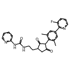 Cc1cc(-c2ncccc2F)cc(C)c1C1C(=O)CC(CCNC(=O)Nc2ccccn2)C1=O